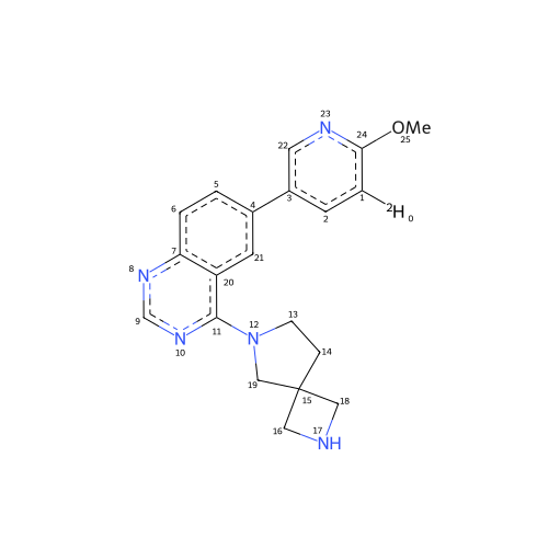 [2H]c1cc(-c2ccc3ncnc(N4CCC5(CNC5)C4)c3c2)cnc1OC